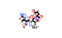 CON=C(C(=O)N[C@@H]1C(=O)N(C2(C(=O)[O-])CCC(=O)O2)O[C@H]1C)c1csc(N)n1.[Na+]